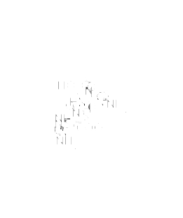 Nc1cc[n+](N)c(SCC2(C(=O)[O-])CS[C@@H]3C(NC(=O)C(=NOC4(C(=O)O)CCCC4)c4csc(N)n4)C(=O)N3C2)n1